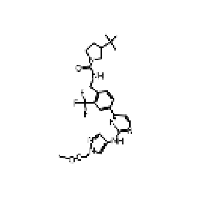 COCCn1cc(Nc2nccc(-c3ccc(CNC(=O)N4CCC(C(C)(C)C)C4)c(C(F)(F)F)c3)n2)cn1